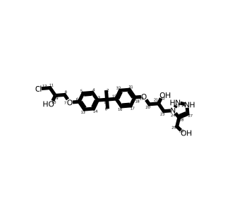 CC(C)(c1ccc(OCC(O)CCl)cc1)c1ccc(OCC(O)CN2NNC=C2CO)cc1